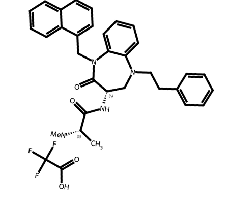 CN[C@@H](C)C(=O)N[C@H]1CN(CCc2ccccc2)c2ccccc2N(Cc2cccc3ccccc23)C1=O.O=C(O)C(F)(F)F